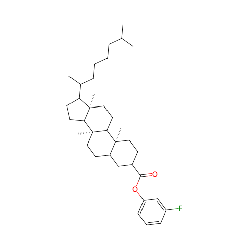 CC(C)CCCCC(C)C1CCC2[C@]3(C)CCC4CC(C(=O)Oc5cccc(F)c5)CC[C@]4(C)C3CC[C@]12C